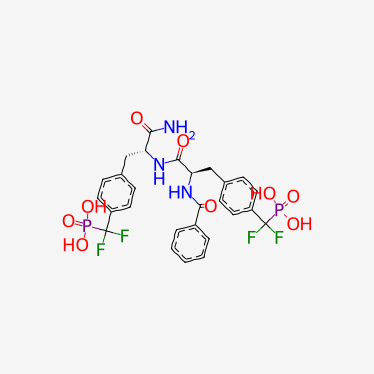 NC(=O)[C@@H](Cc1ccc(C(F)(F)P(=O)(O)O)cc1)NC(=O)[C@@H](Cc1ccc(C(F)(F)P(=O)(O)O)cc1)NC(=O)c1ccccc1